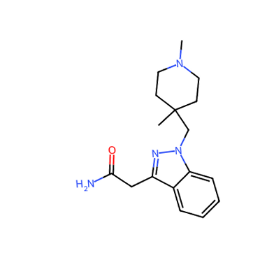 CN1CCC(C)(Cn2nc(CC(N)=O)c3ccccc32)CC1